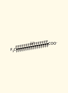 O=C([O-])C(F)(F)C(F)(F)C(F)(F)C(F)(F)C(F)(F)C(F)(F)C(F)(F)C(F)(F)C(F)(F)C(F)(F)C(F)(F)C(F)(F)C(F)(F)C(F)(F)C(F)(F)C(F)(F)C(F)(F)F.[Li+]